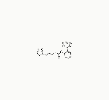 CCCCCOC(=O)c1ccccc1OC(=O)CCCCC1CCSS1